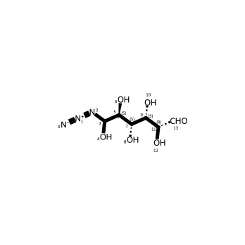 [N-]=[N+]=NC(O)[C@@H](O)[C@@H](O)[C@H](O)[C@@H](O)C=O